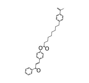 C=C(C)c1ccc(CCCCCCCCC(=O)Oc2ccc(C=CC(=O)c3ccccc3)cc2)cc1